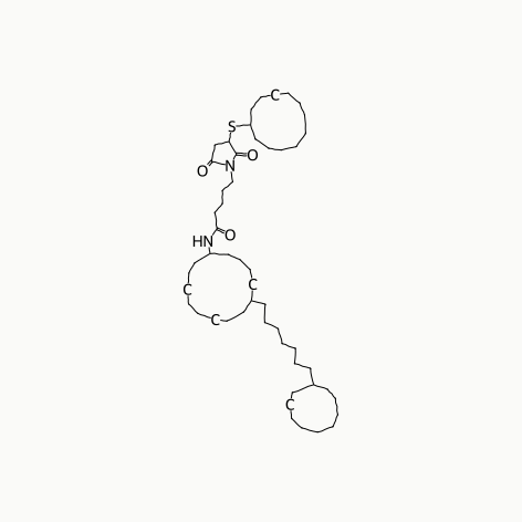 O=C(CCCCN1C(=O)CC(SC2CCCCCCCCCCC2)C1=O)NC1CCCCCCCCC(CCCCCCCC2CCCCCCCCC2)CCCC1